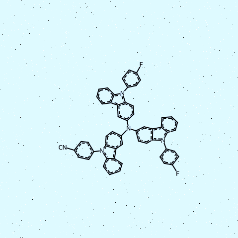 [C-]#[N+]c1ccc(-n2c3ccccc3c3cc(N(c4ccc5c(c4)c4ccccc4n5-c4ccc(F)cc4)c4ccc5c(c4)c4ccccc4n5-c4ccc(F)cc4)ccc32)cc1